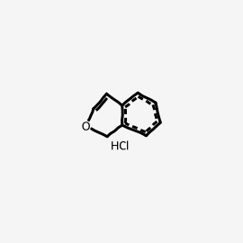 C1=Cc2ccccc2CO1.Cl